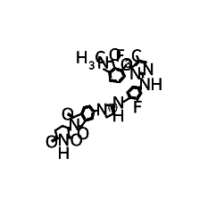 CN1Cc2cccc(Oc3nc(Nc4ccc(CN[C@@H]5CCN(c6ccc7c(c6)C(=O)N(C6CCC(=O)NC6=O)C7=O)C5)c(F)c4)ncc3C(F)(F)F)c2C1=O